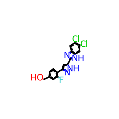 OCc1ccc(-c2cc(-c3nc4cc(Cl)c(Cl)cc4[nH]3)[nH]n2)c(F)c1